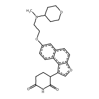 CN(CCOc1ccc2c(ccc3occ(C4CCC(=O)NC4=O)c32)c1)C1CCOCC1